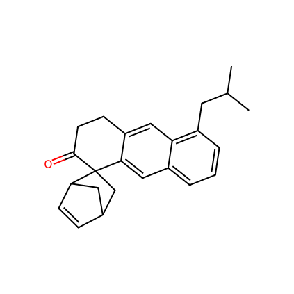 CC(C)Cc1cccc2cc3c(cc12)CCC(=O)C31CC2C=CC1C2